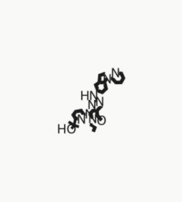 C=CCn1c(=O)c2cnc(Nc3ccc4c(ccn4-c4ccccn4)c3)nc2n1-c1cccc(C(C)(C)O)n1